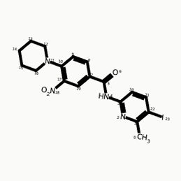 Cc1nc(NC(=O)c2ccc(N3CCCCC3)c([N+](=O)[O-])c2)ccc1I